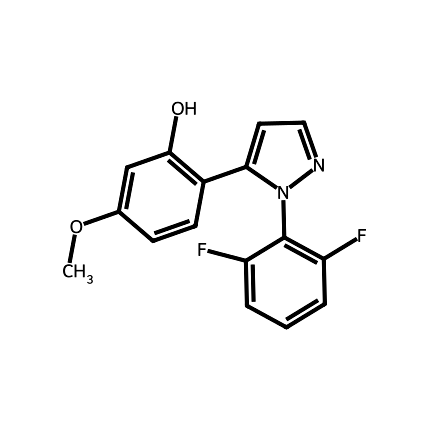 COc1ccc(-c2ccnn2-c2c(F)cccc2F)c(O)c1